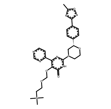 Cc1nc(-c2ccc([C@H]3CN(c4nc(-c5ccncn5)c(OCOCC[Si](C)(C)C)c(=O)[nH]4)CCO3)cc2)no1